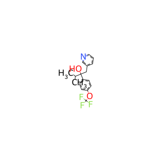 CC(C)C(O)(Cc1cccnc1)c1ccc(OC(F)(F)F)cc1